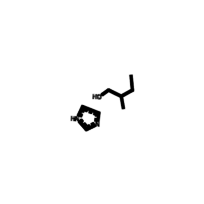 CCC(C)CO.c1c[nH]cn1